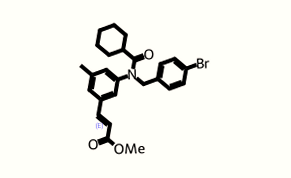 COC(=O)/C=C/c1cc(C)cc(N(Cc2ccc(Br)cc2)C(=O)C2CCCCC2)c1